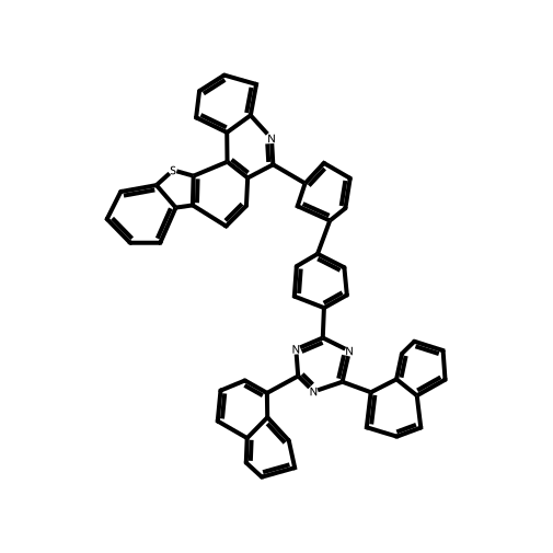 c1cc(-c2ccc(-c3nc(-c4cccc5ccccc45)nc(-c4cccc5ccccc45)n3)cc2)cc(-c2nc3ccccc3c3c2ccc2c4ccccc4sc23)c1